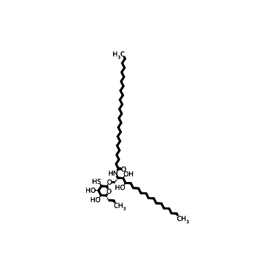 CCCCCCCCCCCCCCCCCCCCCCCCCC(=O)N[C@@H](CO[C@H]1O[C@H](CCC)[C@H](O)[C@H](O)[C@H]1S)[C@H](O)[C@H](O)CCCCCCCCCCCCCC